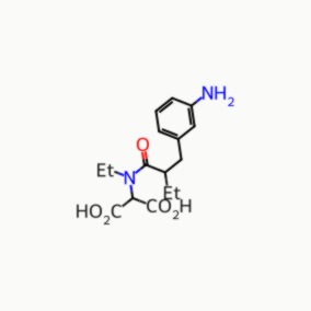 CCC(Cc1cccc(N)c1)C(=O)N(CC)C(C(=O)O)C(=O)O